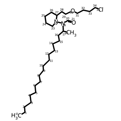 CCCCCCCCCCCCCCCCCC(C)N(C=O)N1CCCCC1CCOCCCCCl